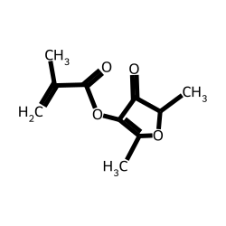 C=C(C)C(=O)OC1=C(C)OC(C)C1=O